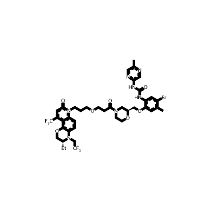 CC[C@@H]1COc2c(ccc3c2c(C(F)(F)F)cc(=O)n3CCCOCCC(=O)N2CCO[C@H](COc3cc(C)c(Br)cc3NC(=O)Nc3cnc(C)cn3)C2)N1CC(F)(F)F